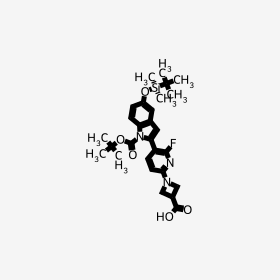 CC(C)(C)OC(=O)n1c(-c2ccc(N3CC(C(=O)O)C3)nc2F)cc2cc(O[Si](C)(C)C(C)(C)C)ccc21